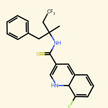 CC(Cc1ccccc1)(CC(F)(F)F)NC(=S)C1=CNC2C(F)=CC=CC2=C1